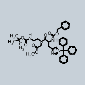 COC(=O)CN(CCNC(=O)OC(C)(C)C)C(=O)C(Cc1cn(C(c2ccccc2)(c2ccccc2)c2ccccc2)cn1)NC(=O)OCc1ccccc1